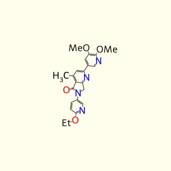 CCOc1ccc(N2Cc3nc(-c4cnc(OC)c(OC)c4)cc(C)c3C2=O)cn1